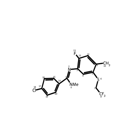 CN/C(=N\c1cc(SCC(F)(F)F)c(C)cc1F)c1ccc(Cl)cc1